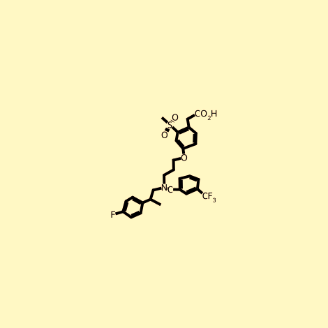 CC(CN(CCCOc1ccc(CC(=O)O)c(S(C)(=O)=O)c1)Cc1cccc(C(F)(F)F)c1)c1ccc(F)cc1